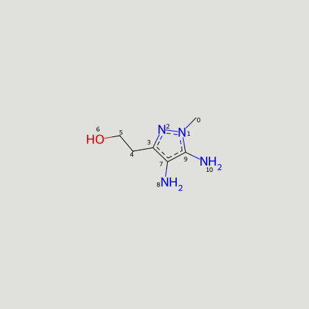 Cn1nc(CCO)c(N)c1N